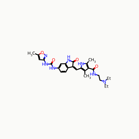 CCN(CC)CCNC(=O)c1c(C)[nH]c(/C=C2\C(=O)Nc3cc(NC(=O)Nc4cc(C)on4)ccc32)c1C